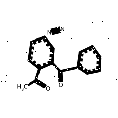 CC(=O)c1ccccc1C(=O)c1ccccc1.N#N